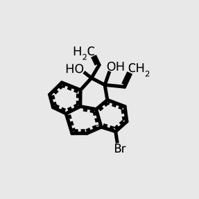 C=CC1(O)c2cccc3ccc4c(Br)ccc(c4c23)C1(O)C=C